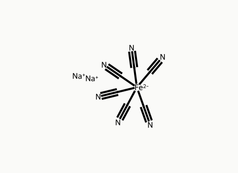 N#[C][Fe-2]([C]#N)([C]#N)([C]#N)([C]#N)[C]#N.[Na+].[Na+]